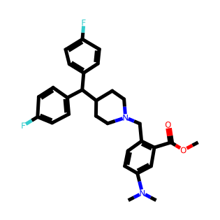 COC(=O)c1cc(N(C)C)ccc1CN1CCC(C(c2ccc(F)cc2)c2ccc(F)cc2)CC1